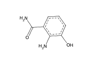 NC(=O)c1cccc(O)c1N